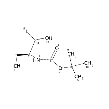 CC[C@H](NC(=O)OC(C)(C)C)C(O)I